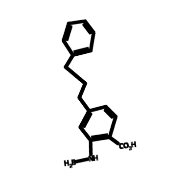 BNc1cc(CCCc2ccccc2)ccc1C(=O)O